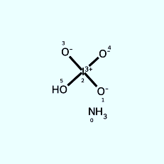 N.[O-][I+3]([O-])([O-])O